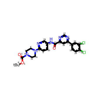 CC(C)(C)OC(=O)N1CCN(c2ccc(NC(=O)c3cc(-c4ccc(Cl)c(Cl)c4)ncn3)cn2)CC1